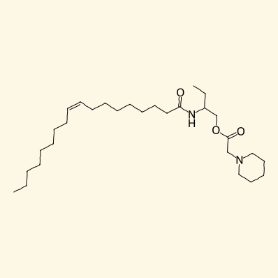 CCCCCCCC/C=C\CCCCCCCC(=O)NC(CC)COC(=O)CN1CCCCC1